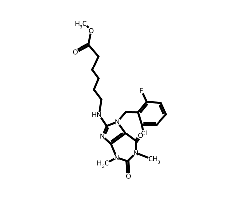 COC(=O)CCCCCNc1nc2c(c(=O)n(C)c(=O)n2C)n1Cc1c(F)cccc1Cl